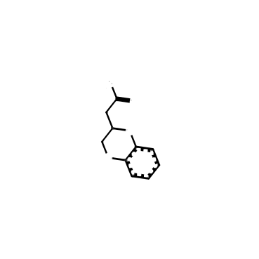 Cl.NC(=O)CC1COc2ccccc2O1